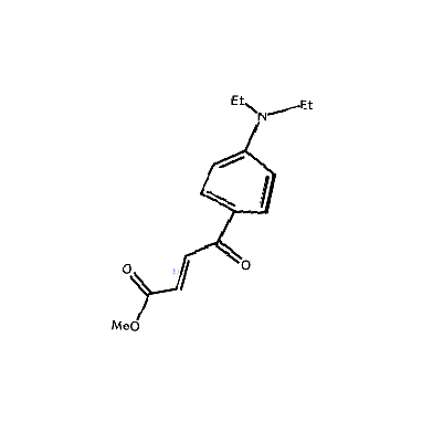 CCN(CC)c1ccc(C(=O)/C=C/C(=O)OC)cc1